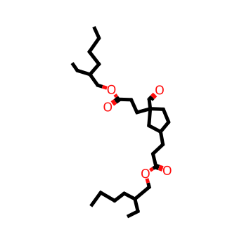 CCCCC(CC)COC(=O)CCC1CCC(C=O)(CCC(=O)OCC(CC)CCCC)C1